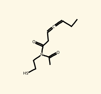 CCC=C=CCC(=O)N(CCS)C(C)=O